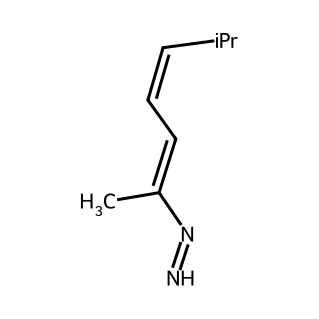 C/C(=C\C=C/C(C)C)N=N